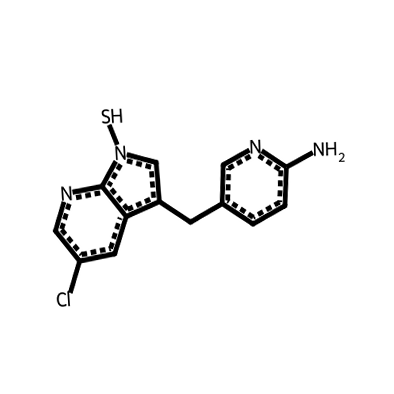 Nc1ccc(Cc2cn(S)c3ncc(Cl)cc23)cn1